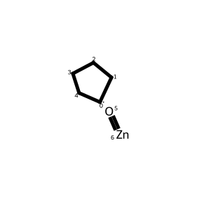 [CH]1CCCC1.[O]=[Zn]